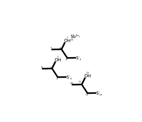 CC(O)C[S-].CC(O)C[S-].CC(O)C[S-].[Sb+3]